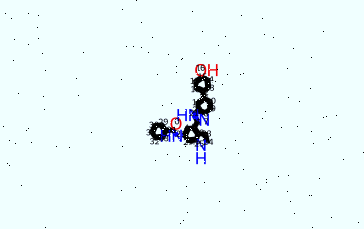 O=C(Nc1cc(-c2nc3ccc(-c4ccc(O)cc4)cc3[nH]2)c2cc[nH]c2c1)c1ccccc1